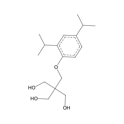 CC(C)c1ccc(OCC(CO)(CO)CO)c(C(C)C)c1